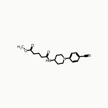 COC(=O)CCCC(=O)NC1CCN(c2ccc(C#N)cc2)CC1